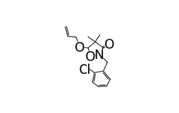 C=CCOC1ON(Cc2ccccc2Cl)C(=O)C1(C)C